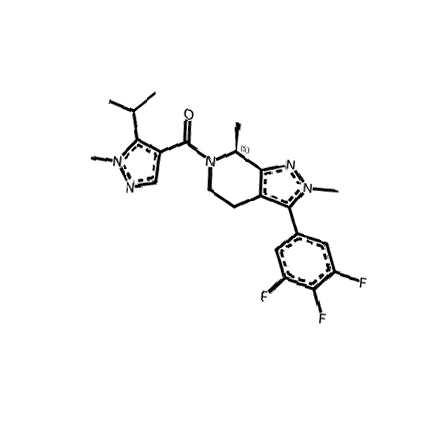 CC(C)c1c(C(=O)N2CCc3c(nn(C)c3-c3cc(F)c(F)c(F)c3)[C@@H]2C)cnn1C